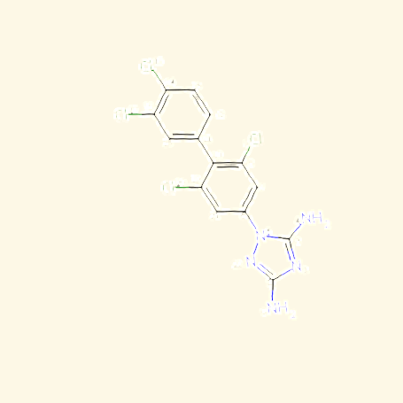 Nc1nc(N)n(-c2cc(Cl)c(-c3ccc(Cl)c(Cl)c3)c(Cl)c2)n1